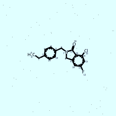 CCc1ccc(CN2Cc3cc(F)cc(Cl)c3C2=O)cc1